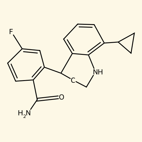 NC(=O)c1ccc(F)cc1C1CCNc2c(C3CC3)cccc21